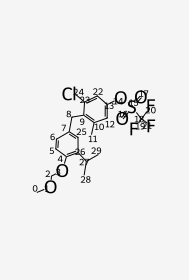 COCOc1ccc(Cc2c(C)cc(OS(=O)(=O)C(F)(F)F)cc2Cl)cc1C(C)C